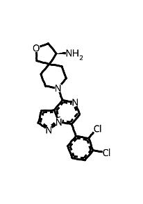 N[C@@H]1COCC12CCN(c1ncc(-c3cccc(Cl)c3Cl)n3nccc13)CC2